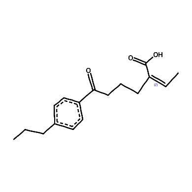 C/C=C(/CCCC(=O)c1ccc(CCC)cc1)C(=O)O